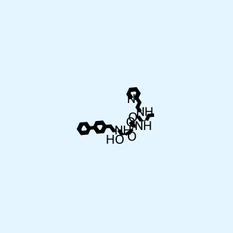 CCC[C@H](NC(=O)[C@@H]1O[C@H]1C(O)NCCc1ccc(-c2ccccc2)cc1)C(=O)NCCc1ccccn1